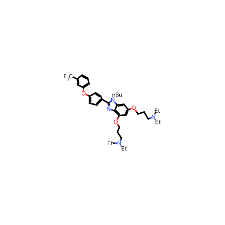 CCCCn1c(-c2ccc(Oc3cccc(C(F)(F)F)c3)cc2)nc2c(OCCCN(CC)CC)cc(OCCCN(CC)CC)cc21